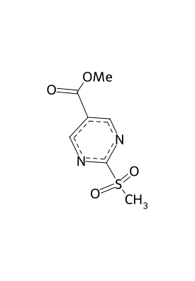 COC(=O)c1cnc(S(C)(=O)=O)nc1